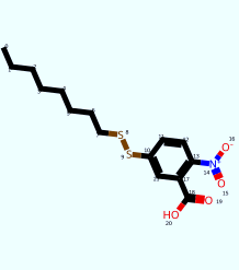 CCCCCCCCSSc1ccc([N+](=O)[O-])c(C(=O)O)c1